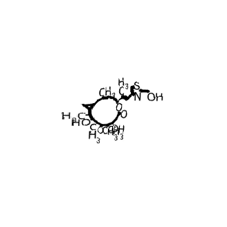 C/C1=C/C[C@@H](/C(C)=C/c2csc(CO)n2)OC(=O)C[C@H](O)C(C)(C)C(=O)[C@H](C)[C@@H](O)[C@@H](C)C2CC2C1